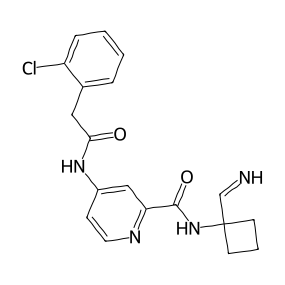 N=CC1(NC(=O)c2cc(NC(=O)Cc3ccccc3Cl)ccn2)CCC1